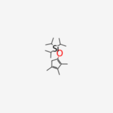 CC1=C(C)C(C)=C(O[Si](C(C)C)(C(C)C)C(C)C)C1